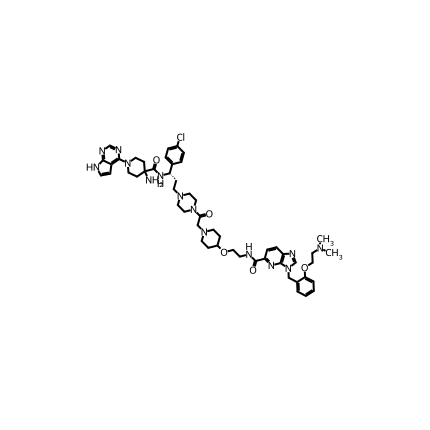 CN(C)CCOc1ccccc1Cn1cnc2ccc(C(=O)NCCOC3CCN(CC(=O)N4CCN(CC[C@H](NC(=O)C5(N)CCN(c6ncnc7[nH]ccc67)CC5)c5ccc(Cl)cc5)CC4)CC3)nc21